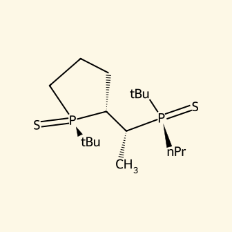 CCC[P@@](=S)([C@H](C)[C@H]1CCC[P@]1(=S)C(C)(C)C)C(C)(C)C